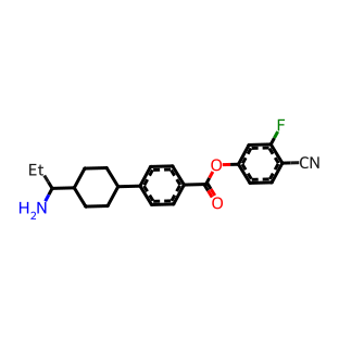 CCC(N)C1CCC(c2ccc(C(=O)Oc3ccc(C#N)c(F)c3)cc2)CC1